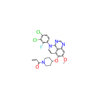 C=CC(=O)N1CCC(Oc2c(OC)cc3ncnc4c3c2C=CN4c2ccc(Cl)c(Cl)c2F)CC1